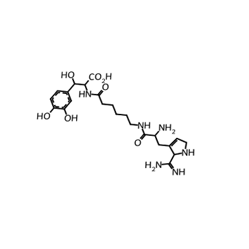 N=C(N)C1NCC=C1CC(N)C(=O)NCCCCCC(=O)NC(C(=O)O)C(O)c1ccc(O)c(O)c1